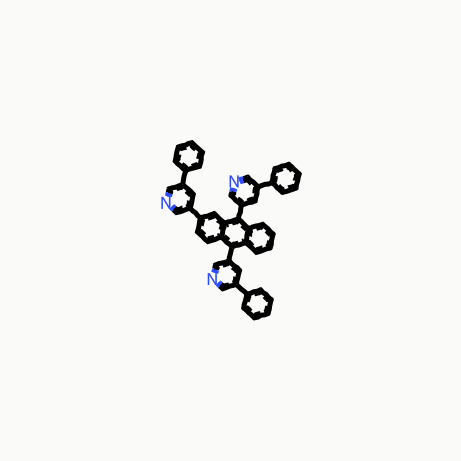 c1ccc(-c2cncc(-c3ccc4c(-c5cncc(-c6ccccc6)c5)c5ccccc5c(-c5cncc(-c6ccccc6)c5)c4c3)c2)cc1